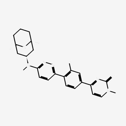 CN(c1ccc(-c2ccc(-c3ccn(C)c(=O)n3)cc2O)nn1)[C@@H]1C[C@]2(C)CCC[C@](C)(C1)N2